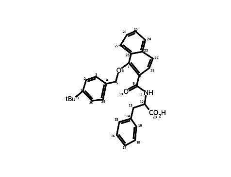 CC(C)(C)c1ccc(COc2c(C(=O)NC(Cc3ccccc3)C(=O)O)ccc3ccccc23)cc1